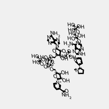 CN1CCC[C@H]1c1cccnc1.NC(=O)c1ccc[n+]([C@@H]2O[C@H](COP(=O)([O-])OP(=O)(O)OC[C@H]3O[C@@H](n4cnc5c(N)ncnc54)[C@H](OP(=O)(O)O)[C@@H]3O)[C@@H](O)[C@H]2O)c1.Nc1ncnc2[nH]cnc12.O=P(O)(O)O.O=P(O)(O)O.O=P(O)(O)O